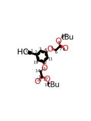 C#Cc1cc(OCC(=O)OC(C)(C)C)cc(OCC(=O)OC(C)(C)C)c1